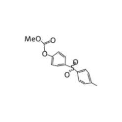 COC(=O)Oc1ccc(S(=O)(=O)c2ccc(C)cc2)cc1